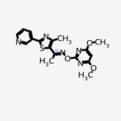 COc1cc(OC)nc(O/N=C(\C)c2sc(-c3cccnc3)nc2C)n1